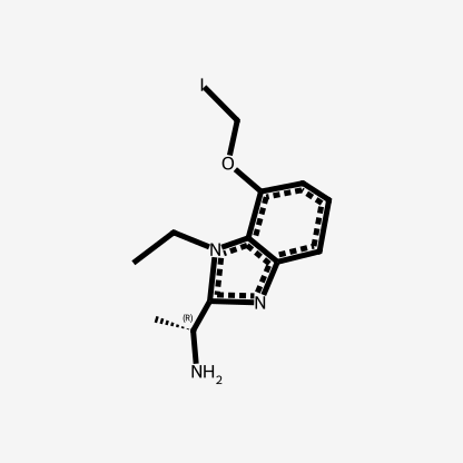 CCn1c([C@@H](C)N)nc2cccc(OCI)c21